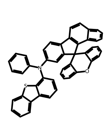 c1ccc(N(c2ccc3c(c2)C2(c4ccccc4Oc4ccccc42)c2c-3ccc3ccccc23)c2cccc3c2sc2ccccc23)cc1